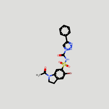 CC(=O)N1CCc2cc(Br)c(S(=O)(=O)NC(=O)n3cc(-c4ccccc4)nn3)cc21